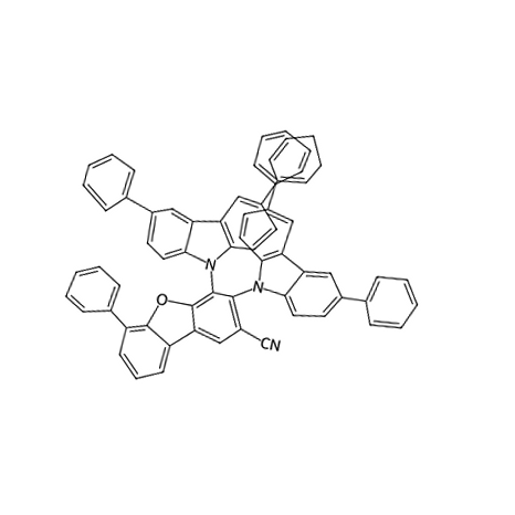 N#Cc1cc2c(oc3c(-c4ccccc4)cccc32)c(-n2c3ccc(C4=CCCC=C4)cc3c3cc(-c4ccccc4)ccc32)c1-n1c2ccc(-c3ccccc3)cc2c2cc(-c3ccccc3)ccc21